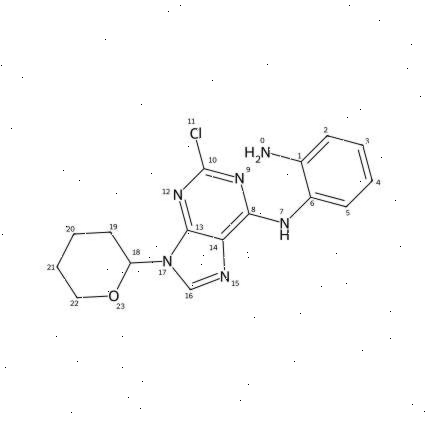 Nc1ccccc1Nc1nc(Cl)nc2c1ncn2C1CCCCO1